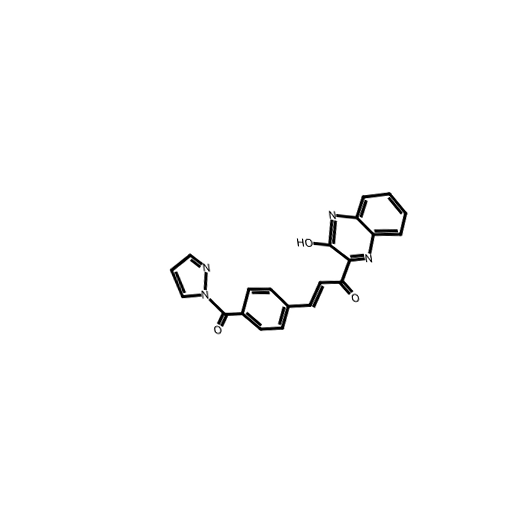 O=C(C=Cc1ccc(C(=O)n2cccn2)cc1)c1nc2ccccc2nc1O